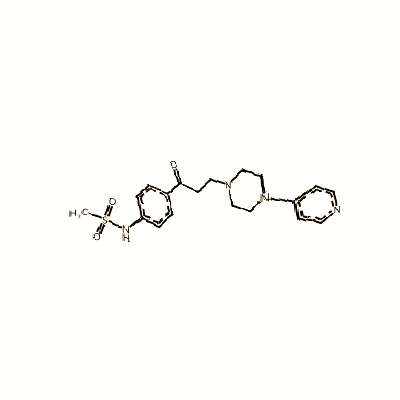 CS(=O)(=O)Nc1ccc(C(=O)CCN2CCN(c3ccncc3)CC2)cc1